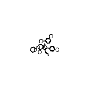 CC=Cc1c2c(n(-c3ccc(Cl)cc3Cl)c1-c1ccc(OC)cc1)CCN(N1CCCCC1)C2=O